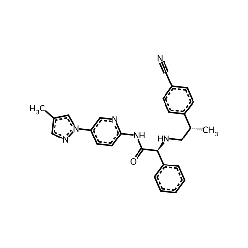 Cc1cnn(-c2ccc(NC(=O)[C@@H](NC[C@@H](C)c3ccc(C#N)cc3)c3ccccc3)nc2)c1